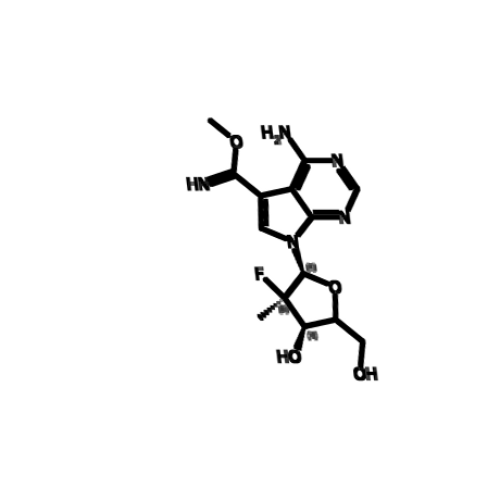 COC(=N)c1cn([C@H]2OC(CO)[C@@H](O)[C@@]2(C)F)c2ncnc(N)c12